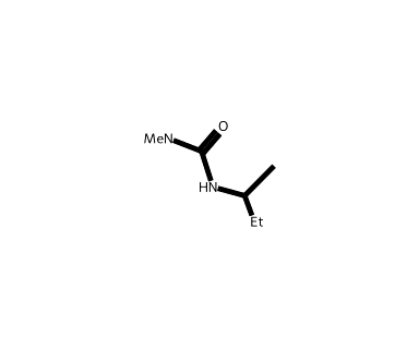 [CH2]NC(=O)NC(C)CC